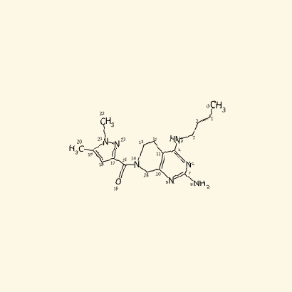 CCCCNc1nc(N)nc2c1CCN(C(=O)c1cc(C)n(C)n1)C2